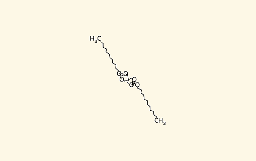 CCCCCCCCCCCCCOP1OCC2(CO1)COP(OCCCCCCCCCCCCC)OC2